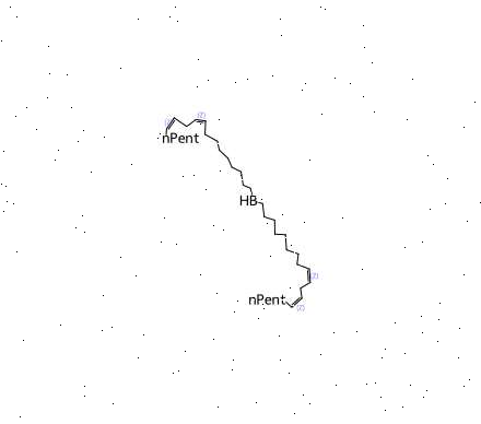 CCCCC/C=C\C/C=C\CCCCCCCCBCCCCCCCC/C=C\C/C=C\CCCCC